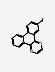 Ic1ccc2c3ccccc3c3nccnc3c2c1